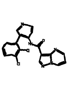 O=C(Nc1ccncc1-c1cccc(Cl)c1Cl)c1cnn2cccnc12